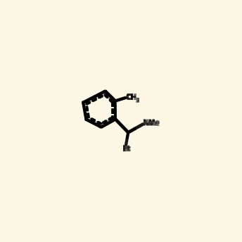 CCC(NC)c1ccccc1C